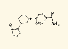 NC(=O)c1cnc(N2CCC[C@@H](N3CCCC3=O)C2)cn1